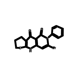 CC(C)c1cc2[nH]c3c(c(=O)c2c(=O)n1-c1ccccc1)CCCC3